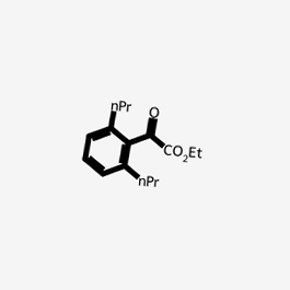 CCCc1cccc(CCC)c1C(=O)C(=O)OCC